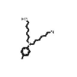 Cc1ccc(N(CCCCCCO)CCCCCCO)cc1